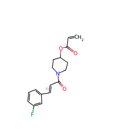 C=CC(=O)OC1CCN(C(=O)/C=C/c2cccc(F)c2)CC1